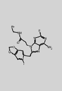 CC(C)CNC(=O)CCn1c(Cc2cc3c(cc2I)OCO3)nc2c(N)nc(F)nc21